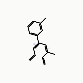 C=C/C=C(\C=C(\C)C=C)c1cccc(C)c1